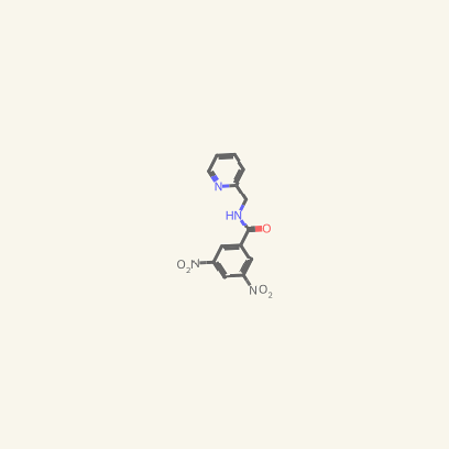 O=C(NCc1ccccn1)c1cc([N+](=O)[O-])cc([N+](=O)[O-])c1